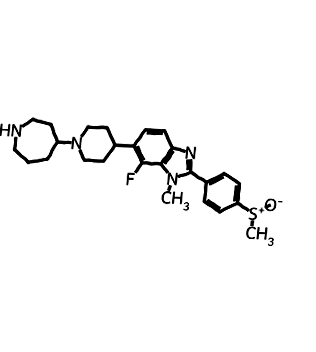 Cn1c(-c2ccc([S+](C)[O-])cc2)nc2ccc(C3CCN(C4CCCNCC4)CC3)c(F)c21